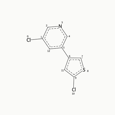 Clc1cncc(-c2[c]sc(Cl)c2)c1